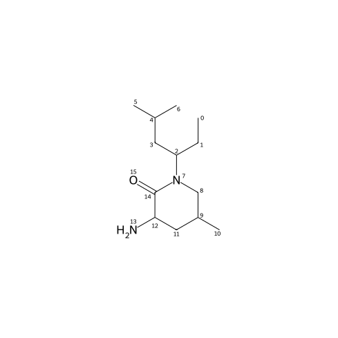 CCC(CC(C)C)N1CC(C)CC(N)C1=O